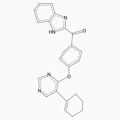 O=C(c1ccc(Oc2ncncc2C2=CCCCC2)cc1)c1nc2ccccc2[nH]1